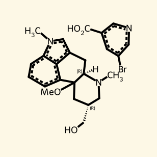 COC12C[C@@H](CO)CN(C)[C@@H]1Cc1cn(C)c3cccc2c13.O=C(O)c1cncc(Br)c1